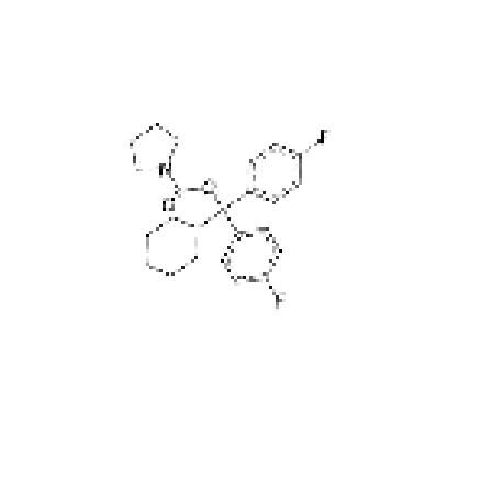 O=C(OC(c1ccc(F)cc1)(c1ccc(F)cc1)C1CCCCC1)N1CCCC1